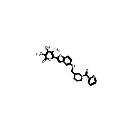 Cc1c(-c2cc3cc(OCC4CCCN(C(=O)c5ccccn5)C4)ccc3o2)oc(=O)c(C)c1O